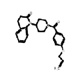 C=CCOc1ccc(C(=O)N2CCC(N3C(=O)CCc4ccccc43)CC2)cc1